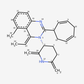 C=C1CC[C@@H](N2C(C3C=CCC=CC3)=Nc3cccc(C)c3/C2=C\C)C(=C)N1